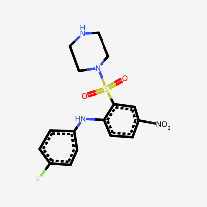 O=[N+]([O-])c1ccc(Nc2ccc(F)cc2)c(S(=O)(=O)N2CCNCC2)c1